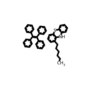 CCCCCCc1cccc2c1Nc1ccccc1S2.c1ccc(C(=C(c2ccccc2)c2ccccc2)c2ccccc2)cc1